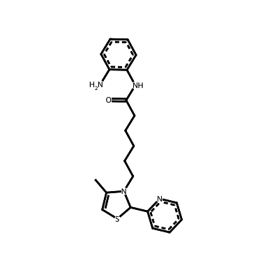 CC1=CSC(c2ccccn2)N1CCCCCC(=O)Nc1ccccc1N